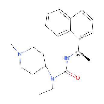 CCN(C(=O)N[C@H](C)c1cccc2ccccc12)C1CCN(C)CC1